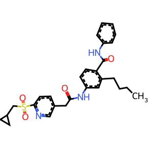 CCCCc1cc(NC(=O)Cc2ccc(S(=O)(=O)CC3CC3)nc2)ccc1C(=O)Nc1ccccc1